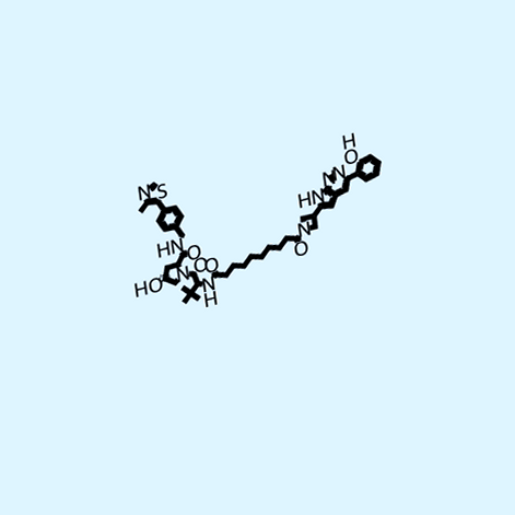 Cc1ncsc1-c1ccc(CNC(=O)C2C[C@@H](O)CN2C(=O)C(NC(=O)CCCCCCCCC(=O)N2CC(c3cc4cc(-c5ccccc5O)nnc4[nH]3)C2)C(C)(C)C)cc1